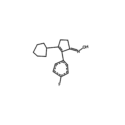 O/N=C1\CCC(C2CCCCC2)=C1c1ccc(F)cc1